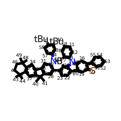 CC(C)(C)c1ccc(N2B3c4cc(C(C)(C)C)ccc4-n4c5cc6c(cc5c5ccc(c3c54)-c3cc4c(cc32)-c2cc3c(cc2C4(C)C)C(C)(C)CCC3(C)C)sc2ccccc26)cc1